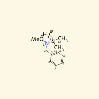 CON(Cc1ccccc1)[Si](C)(C)C